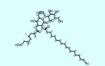 CCCCCCCCCCC[C@H](C)C[C@H](C)C[C@H](C)C(=O)OC1C(O)C(CO)OC(OC2OC(CO)C(O)C(O)C2OS(=O)(=O)O)C1OC(=O)CCCCCCCCCCCCCCCSC(C)=O